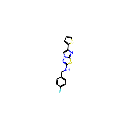 Fc1ccc(CNc2nn3cc(-c4cccs4)nc3s2)cc1